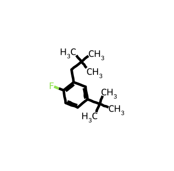 CC(C)(C)Cc1cc(C(C)(C)C)ccc1F